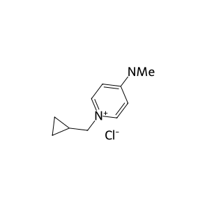 CNc1cc[n+](CC2CC2)cc1.[Cl-]